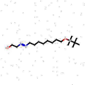 CC(C)(C)[Si](C)(C)OCCCCCCCC/N=N/CCO